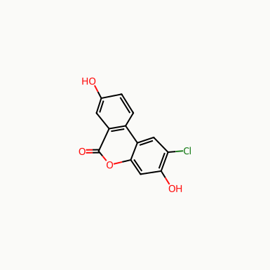 O=c1oc2cc(O)c(Cl)cc2c2ccc(O)cc12